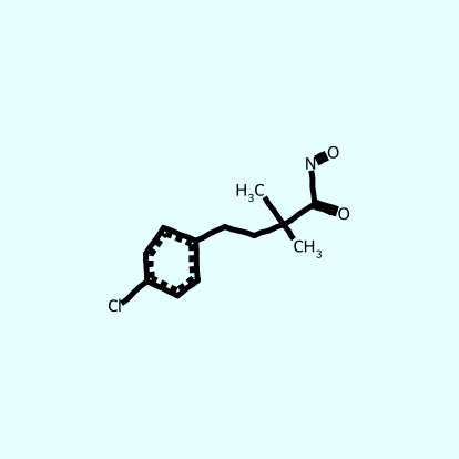 CC(C)(CCc1ccc(Cl)cc1)C(=O)N=O